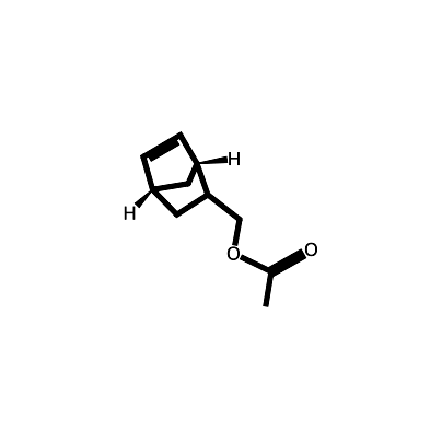 CC(=O)OCC1C[C@@H]2C=C[C@H]1C2